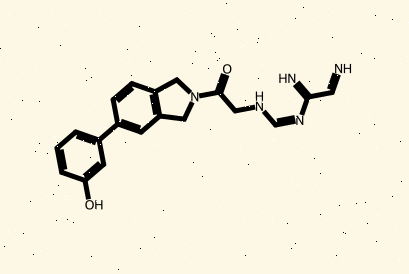 N=CC(=N)/N=C\NCC(=O)N1Cc2ccc(-c3cccc(O)c3)cc2C1